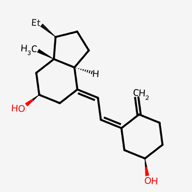 C=C1CC[C@@H](O)C/C1=C/C=C1\C[C@@H](O)C[C@]2(C)[C@@H](CC)CC[C@@H]12